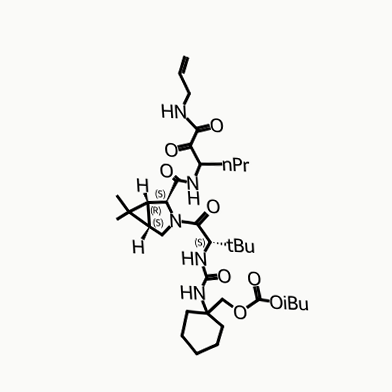 C=CCNC(=O)C(=O)C(CCC)NC(=O)[C@@H]1[C@@H]2[C@H](CN1C(=O)[C@@H](NC(=O)NC1(COC(=O)OCC(C)C)CCCCC1)C(C)(C)C)C2(C)C